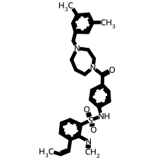 C=Nc1c(/C=C\C)cccc1S(=O)(=O)Nc1ccc(C(=O)N2CCCN(Cc3cc(C)cc(C)c3)CC2)cc1